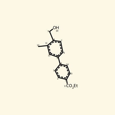 CCOC(=O)c1ccc(-c2ccc(CO)c(C)c2)cc1